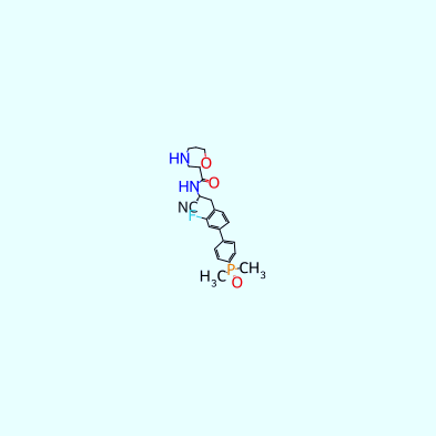 CP(C)(=O)c1ccc(-c2ccc(C[C@@H](C#N)NC(=O)C3CNCCCO3)c(F)c2)cc1